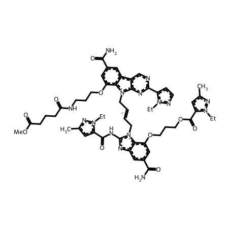 CCn1nc(C)cc1C(=O)Nc1nc2cc(C(N)=O)cc(OCCCOC(=O)c3cc(C)nn3CC)c2n1C/C=C/Cn1c2nc(-c3ccnn3CC)ncc2c2cc(C(N)=O)cc(OCCCNC(=O)CCCC(=O)OC)c21